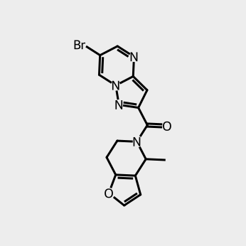 CC1c2ccoc2CCN1C(=O)c1cc2ncc(Br)cn2n1